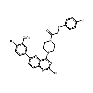 COc1cc(-c2ccc3nc(N)nc(N4CCN(C(=O)COc5ccc(Cl)cc5)CC4)c3n2)ccc1O